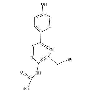 CCC(C)C(=O)Nc1ncc(-c2ccc(O)cc2)nc1CC(C)C